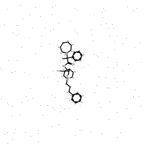 CC(C(=O)O[C@H]1C[N+]2(CCCc3ccccc3)CCC1CC2)(c1ccccc1)N1CCCCCC1